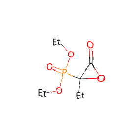 CCOP(=O)(OCC)C1(CC)OC1=O